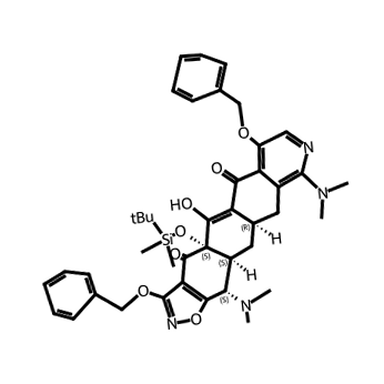 CN(C)c1ncc(OCc2ccccc2)c2c1C[C@H]1C[C@H]3[C@H](N(C)C)c4onc(OCc5ccccc5)c4C(=O)[C@@]3(O[Si](C)(C)C(C)(C)C)C(O)=C1C2=O